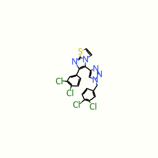 Clc1ccc(Cn2cc(-c3c(-c4ccc(Cl)c(Cl)c4)nc4sccn34)nn2)cc1Cl